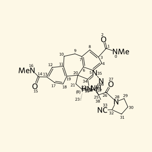 CNC(=O)c1ccc2c(c1)CCc1cc(C(=O)NC)ccc1C2(C[C@@H](C)NCC(=O)N1CCCC1C#N)c1nnc(C)[nH]1